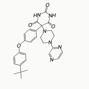 CC(C)(C)c1ccc(Oc2ccc(C3(N4CCN(c5cnccn5)CC4)C(=O)NC(=O)NC3=O)cc2)cc1